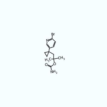 CC(C)(CC1(c2ccc(Br)nc2)CC1)OC(N)=O